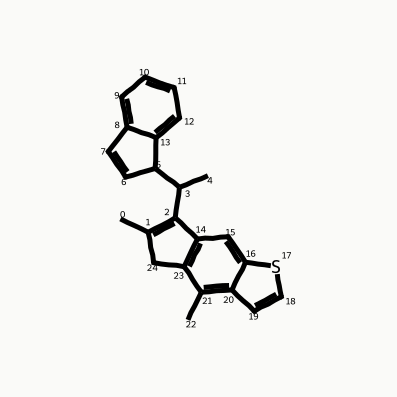 CC1=C(C(C)C2C=Cc3ccccc32)c2cc3sccc3c(C)c2C1